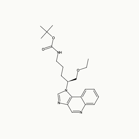 CCOC[C@H](CCCNC(=O)OC(C)(C)C)n1cnc2cnc3ccccc3c21